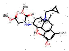 COc1cc(O)c2c3c1C[C@@H]1[C@@H]4CC[C@H](N[C@@H](CC(=O)OC(C)(C)C)C(=O)OC(C)(C)C)[C@H](O2)[C@]34CCN1CC1CC1